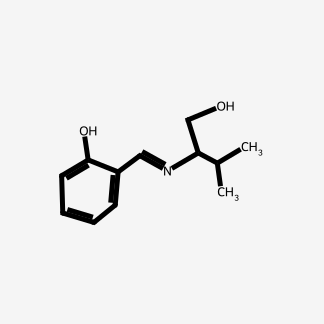 CC(C)C(CO)/N=C/c1ccccc1O